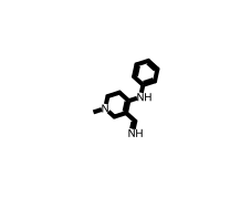 CN1CCC(Nc2ccccc2)=C(C=N)C1